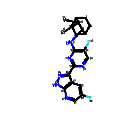 CC[C@@H]1C2CCC(CC2)C1Nc1nc(-c2n[nH]c3ncc(F)cc23)ncc1F